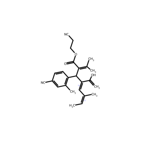 C=C(O)/C(=C\C(C)=C/C)C(C(C(=O)OCCC#N)=C(C)C)c1ccc(C#N)cc1C